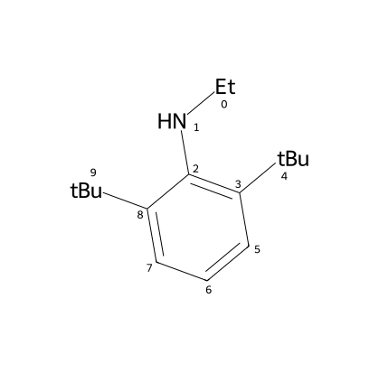 CCNc1c(C(C)(C)C)cccc1C(C)(C)C